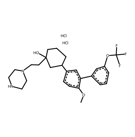 COc1ccc(C2CCCC(O)(CCN3CCNCC3)C2)cc1-c1cccc(OC(F)(F)F)c1.Cl.Cl